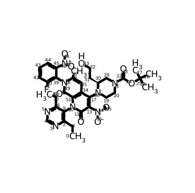 CCc1ncnc(CC)c1-n1c(=O)c([N+](=O)[O-])c(N2CCN(C(=O)OC(C)(C)C)C[C@@H]2CCO)c2cc(C)n(-c3c(F)cccc3[N+](=O)[O-])c(=O)c21